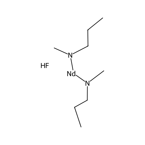 CCC[N](C)[Nd][N](C)CCC.F